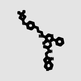 O=C(Cn1c(-c2ccccc2)ncc(NCCCc2ccc(OC3CS(=O)(=O)C3)cc2)c1=O)NCc1cc2cnccc2[nH]1